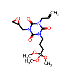 C=CCn1c(=O)n(CCC[Si](OC)(OC)OC)c(=O)n(CC2CO2)c1=O